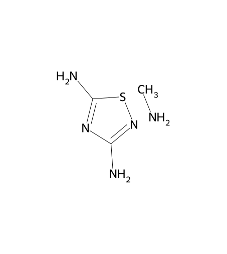 CN.Nc1nsc(N)n1